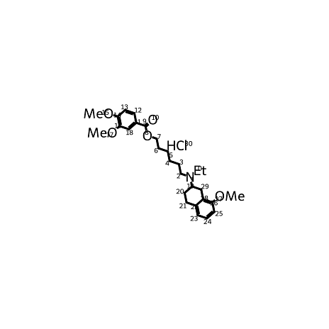 CCN(CCCCCCOC(=O)c1ccc(OC)c(OC)c1)C1CCc2cccc(OC)c2C1.Cl